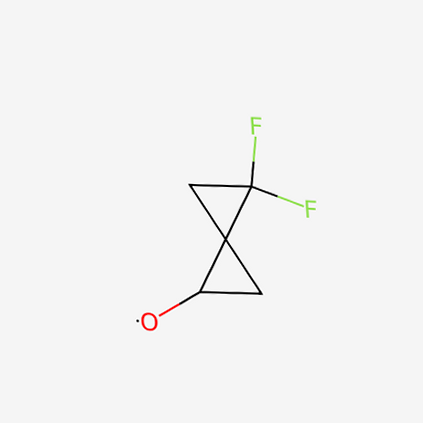 [O]C1CC12CC2(F)F